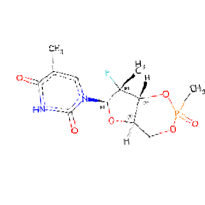 Cc1cn([C@@H]2O[C@@H]3COP(C)(=O)O[C@H]3[C@@]2(C)F)c(=O)[nH]c1=O